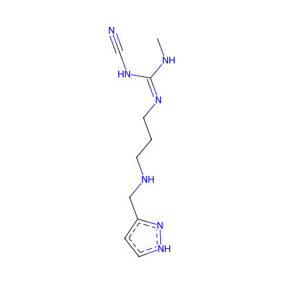 CN/C(=N/CCCNCc1cc[nH]n1)NC#N